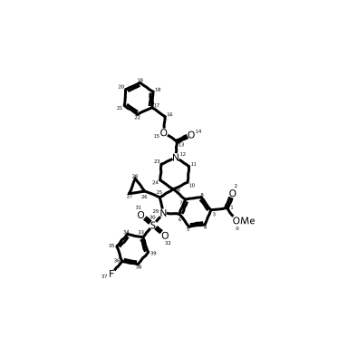 COC(=O)c1ccc2c(c1)C1(CCN(C(=O)OCc3ccccc3)CC1)C(C1CC1)N2S(=O)(=O)c1ccc(F)cc1